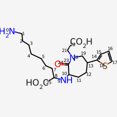 NCCCCCCCC(NC1CCC(c2cccs2)CN(CC(=O)O)C1=O)C(=O)O